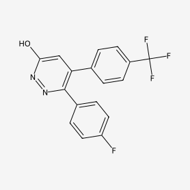 Oc1cc(-c2ccc(C(F)(F)F)cc2)c(-c2ccc(F)cc2)nn1